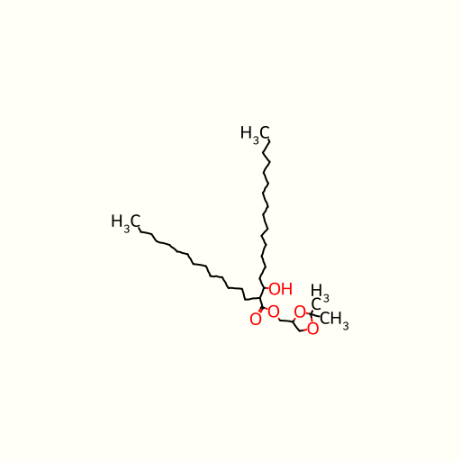 CCCCCCCCCCCCCCCC(O)C(CCCCCCCCCCCCCC)C(=O)OCC1COC(C)(C)O1